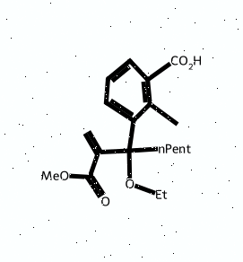 C=C(C(=O)OC)C(CCCCC)(OCC)c1cccc(C(=O)O)c1C